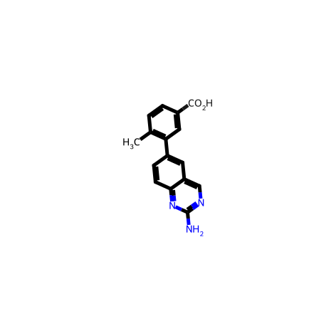 Cc1ccc(C(=O)O)cc1-c1ccc2nc(N)ncc2c1